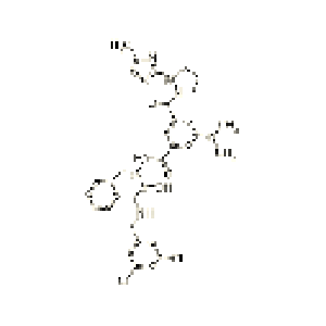 Cc1csc([C@H]2CCCN2C(=O)c2cc(C(=O)N[C@@H](Cc3ccccc3)[C@@H](O)CNCc3cc(Cl)cc(Cl)c3)cc(N(C)C)c2)n1